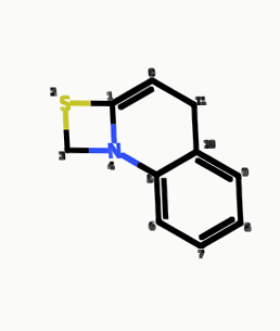 C1=C2SCN2c2ccccc2C1